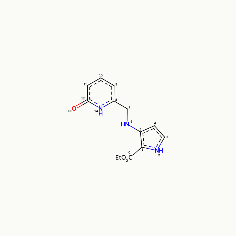 CCOC(=O)c1[nH]ccc1NCc1cccc(=O)[nH]1